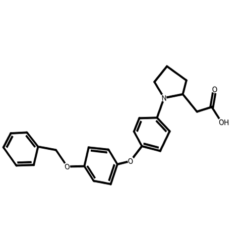 O=C(O)CC1CCCN1c1ccc(Oc2ccc(OCc3ccccc3)cc2)cc1